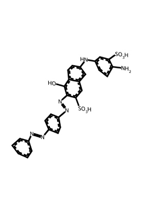 Nc1ccc(Nc2ccc3c(O)c(N=Nc4ccc(N=Nc5ccccc5)cc4)c(S(=O)(=O)O)cc3c2)cc1S(=O)(=O)O